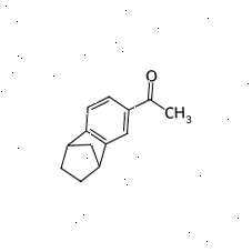 CC(=O)c1ccc2c(c1)C1CCC2C1